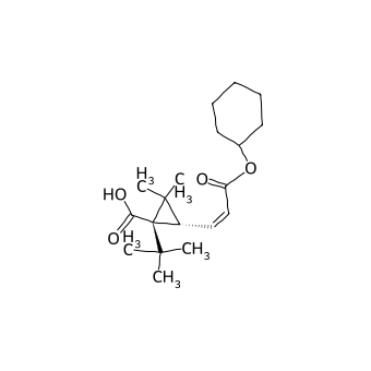 CC(C)(C)[C@]1(C(=O)O)[C@@H](/C=C\C(=O)OC2CCCCC2)C1(C)C